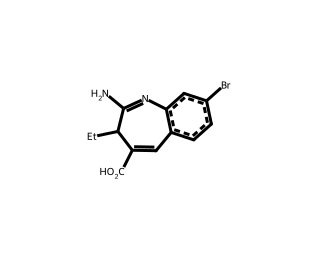 CCC1C(C(=O)O)=Cc2ccc(Br)cc2N=C1N